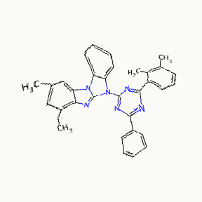 Cc1cc(C)c2nc3n(-c4nc(-c5ccccc5)nc(-c5cccc(C)c5C)n4)c4ccccc4n3c2c1